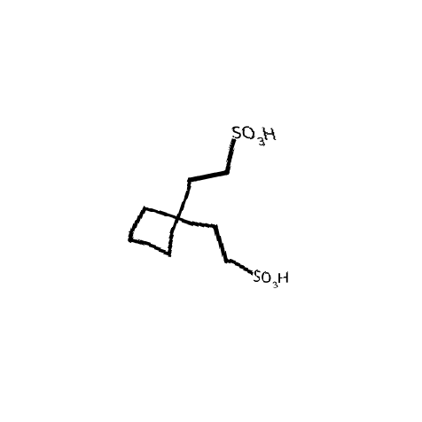 O=S(=O)(O)CCC1(CCS(=O)(=O)O)CCC1